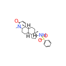 CN1C(=O)C=C[C@@]2(C)C1CC[C@@H]1[C@H]2CC[C@]2(C)C(NS(=O)(=O)c3ccccc3)CC[C@@H]12